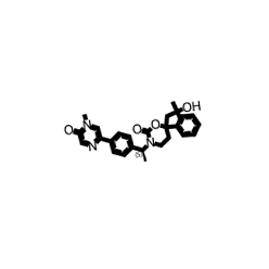 C[C@@H](c1ccc(-c2cn(C)c(=O)cn2)cc1)N1CCC(CC(C)(C)O)(c2ccccc2)OC1=O